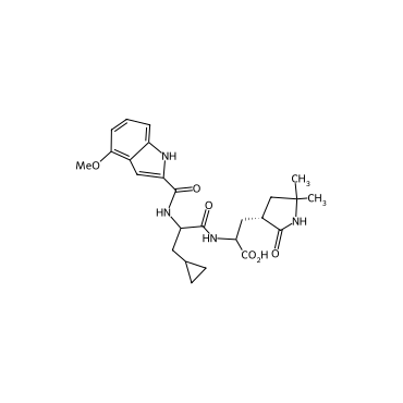 COc1cccc2[nH]c(C(=O)NC(CC3CC3)C(=O)NC(C[C@@H]3CC(C)(C)NC3=O)C(=O)O)cc12